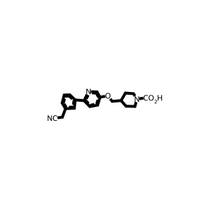 N#CCc1cccc(-c2ccc(OCC3CCN(C(=O)O)CC3)cn2)c1